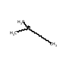 CCCCCCCCCCCCCCCCCCCN1C=CN(CCCCC)C1CCCCCCCCC